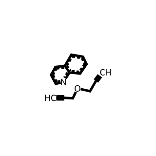 C#CCOCC#C.c1ccc2ncccc2c1